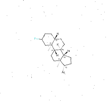 CC(=O)[C@H]1CC[C@H]2[C@@H]3CC[C@H]4CCC(F)C[C@]4(C)[C@H]3CC[C@]12C